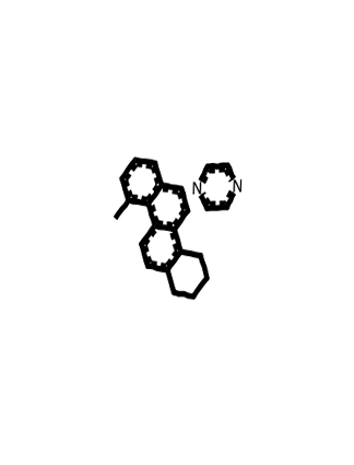 Cc1cccc2ccc3c4c(ccc3c12)CCCC4.c1cnccn1